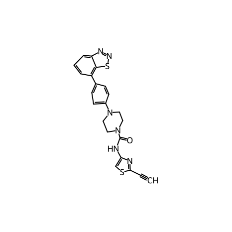 C#Cc1nc(NC(=O)N2CCN(c3ccc(-c4cccc5nnsc45)cc3)CC2)cs1